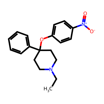 CCN1CCC(Oc2ccc([N+](=O)[O-])cc2)(c2ccccc2)CC1